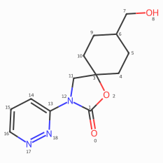 O=C1OC2(CCC(CO)CC2)CN1c1cccnn1